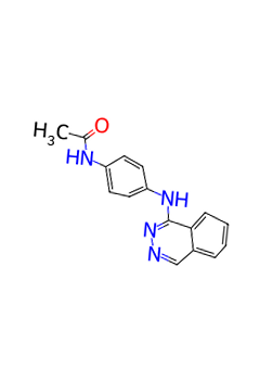 CC(=O)Nc1ccc(Nc2nncc3ccccc23)cc1